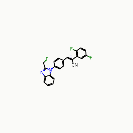 N#C/C(=C\c1ccc(-n2c(CF)nc3ccccc32)cc1)c1cc(F)ccc1F